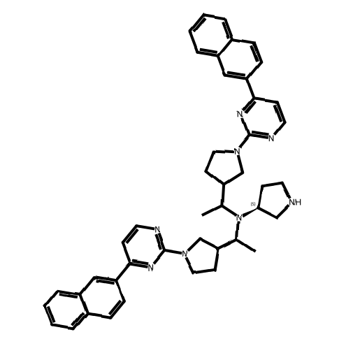 CC(C1CCN(c2nccc(-c3ccc4ccccc4c3)n2)C1)N(C(C)C1CCN(c2nccc(-c3ccc4ccccc4c3)n2)C1)[C@H]1CCNC1